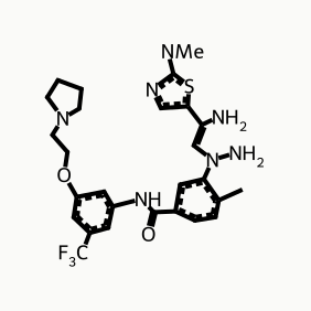 CNc1ncc(/C(N)=C/N(N)c2cc(C(=O)Nc3cc(OCCN4CCCC4)cc(C(F)(F)F)c3)ccc2C)s1